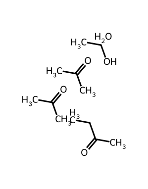 CC(C)=O.CC(C)=O.CCC(C)=O.CCO.O